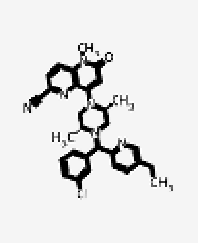 CCc1ccc(C(c2cccc(Cl)c2)N2C[C@H](C)N(c3cc(=O)n(C)c4ccc(C#N)nc34)C[C@H]2C)nc1